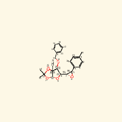 Cc1ccc([C@H]2O[C@@H]2[C@H]2OC3OC(C)(C)O[C@@H]3[C@H]2OCc2ccccc2)cc1